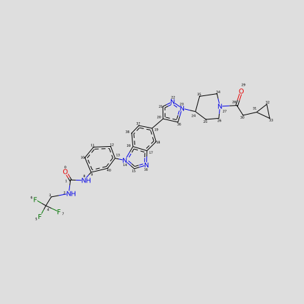 O=C(NCC(F)(F)F)Nc1cccc(-n2cnc3cc(-c4cnn(C5CCN(C(=O)CC6CC6)CC5)c4)ccc32)c1